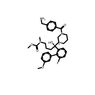 COC(=O)N(C)CCC[C@@](O)(c1cccc(F)c1-c1cccc(OC)c1)[C@@H]1CCCN(C(=O)c2ccc(CN)cc2)C1